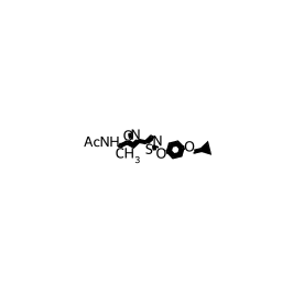 CC(=O)NC(C)c1cc(-c2cnc(Oc3ccc(OCC4CC4)cc3)s2)no1